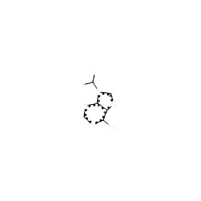 Nc1ncnc2c1ncn2C(F)F